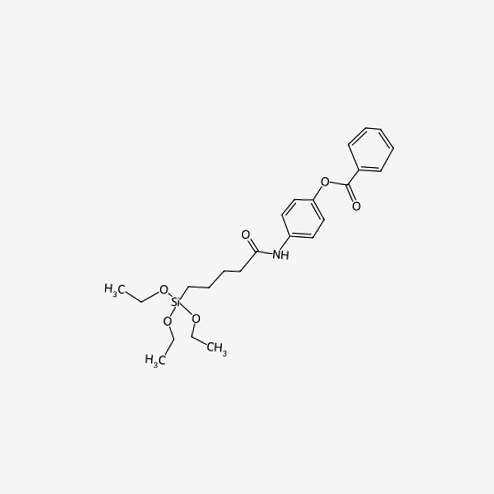 CCO[Si](CCCCC(=O)Nc1ccc(OC(=O)c2ccccc2)cc1)(OCC)OCC